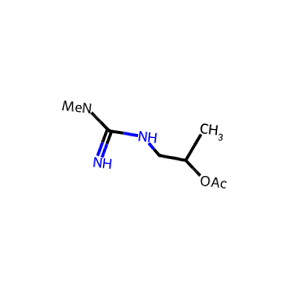 CNC(=N)NCC(C)OC(C)=O